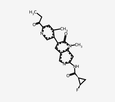 CCC(=O)c1cc(C)c(-c2cc3cnc(NC(=O)[C@H]4C[C@H]4F)cc3n(C)c2=O)cn1